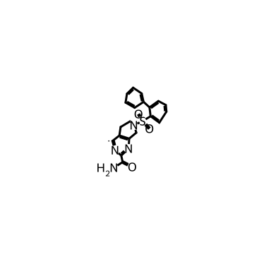 NC(=O)c1n[c]c2c(n1)CN(S(=O)(=O)c1ccccc1-c1ccccc1)CC2